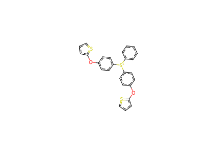 c1ccc([S+](c2ccc(Oc3cccs3)cc2)c2ccc(Oc3cccs3)cc2)cc1